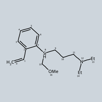 C=Cc1ccccc1[SiH](CCCN(CC)CC)COC